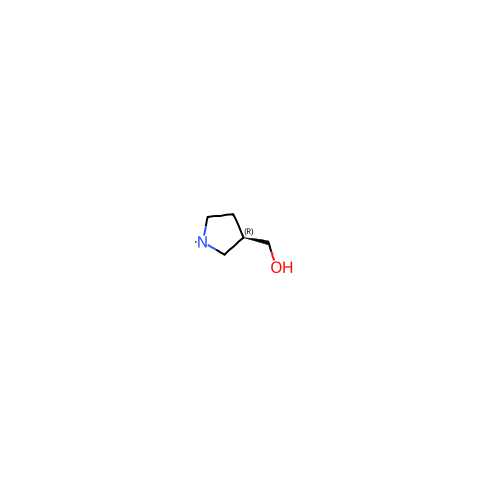 OC[C@@H]1CC[N]C1